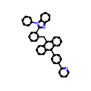 c1ccc(-n2c(-c3ccccc3Cc3c4ccccc4c(-c4ccc(-c5ccccn5)cc4)c4ccccc34)nc3ccccc32)cc1